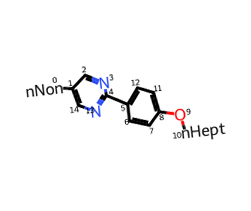 CCCCCCCCCc1cnc(-c2ccc(OCCCCCCC)cc2)nc1